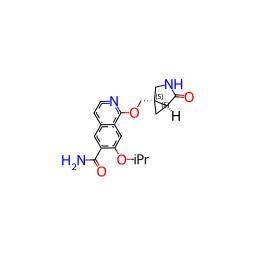 CC(C)Oc1cc2c(OC[C@]34CNC(=O)[C@H]3C4)nccc2cc1C(N)=O